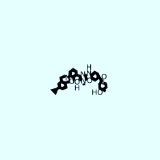 Cn1cc(-c2cccc(N3CCc4cc(C5CC5)ccc4C3=O)c2CO)nc(Nc2ccc(C(=O)N3CCC(C)(O)CC3)cc2)c1=O